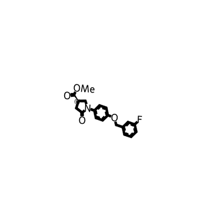 COC(=O)[C@@H]1CC(=O)N(c2ccc(OCc3cccc(F)c3)cc2)C1